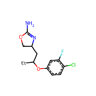 CCC(CC1COC(N)=N1)Oc1ccc(Cl)c(F)c1